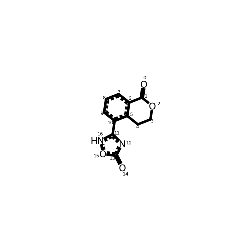 O=C1OCCc2c1cccc2-c1nc(=O)o[nH]1